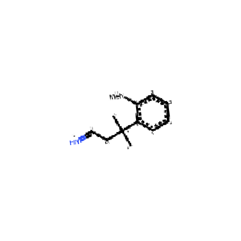 CNc1ccccc1C(C)(C)CC=N